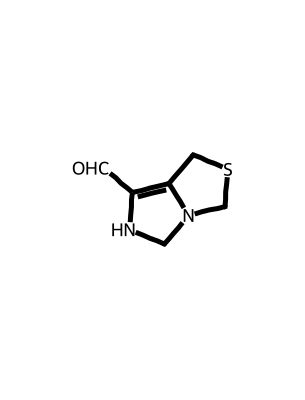 O=CC1=C2CSCN2CN1